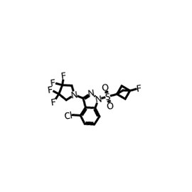 O=S(=O)(n1nc(N2CC(F)(F)C(F)(F)C2)c2c(Cl)cccc21)C12CC(F)(C1)C2